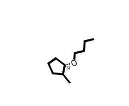 CCCCO[C@H]1CCCC1C